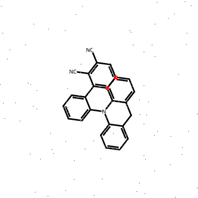 N#Cc1cccc(-c2ccccc2N2c3ccccc3Cc3ccccc32)c1C#N